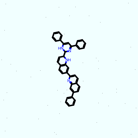 C1=CC(C2N=C(c3ccccc3)C=C(c3ccccc3)N2)Nc2cc(-c3ccc4ccc(-c5ccccc5)cc4n3)ccc21